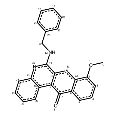 COc1cccc2c(=O)c3c(sc12)c(NCc1ccccc1)nc1ccccc13